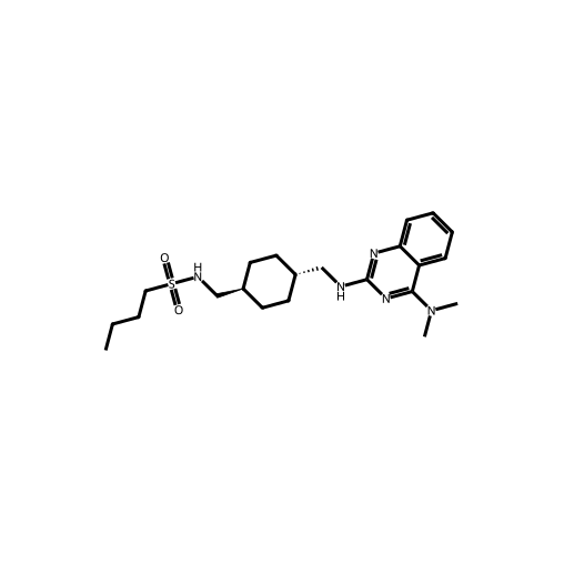 CCCCS(=O)(=O)NC[C@H]1CC[C@H](CNc2nc(N(C)C)c3ccccc3n2)CC1